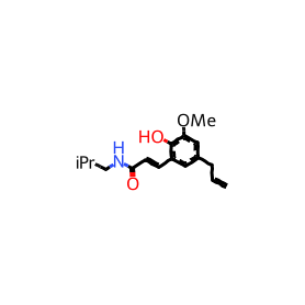 C=CCc1cc(/C=C/C(=O)NCC(C)C)c(O)c(OC)c1